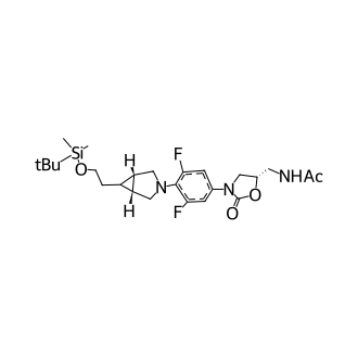 CC(=O)NC[C@H]1CN(c2cc(F)c(N3C[C@@H]4C(CCO[Si](C)(C)C(C)(C)C)[C@@H]4C3)c(F)c2)C(=O)O1